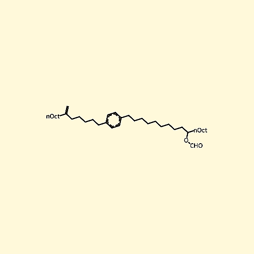 C=C(CCCCCCCC)CCCCCc1ccc(CCCCCCCCCC(CCCCCCCC)OC=O)cc1